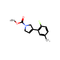 CCCCOC(=O)N1CC=C(c2cc(C(F)(F)F)ccc2F)C1